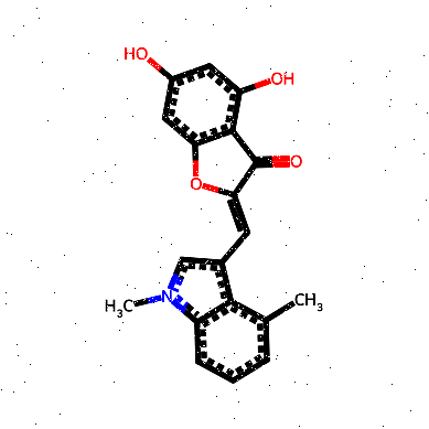 Cc1cccc2c1c(/C=C1\Oc3cc(O)cc(O)c3C1=O)cn2C